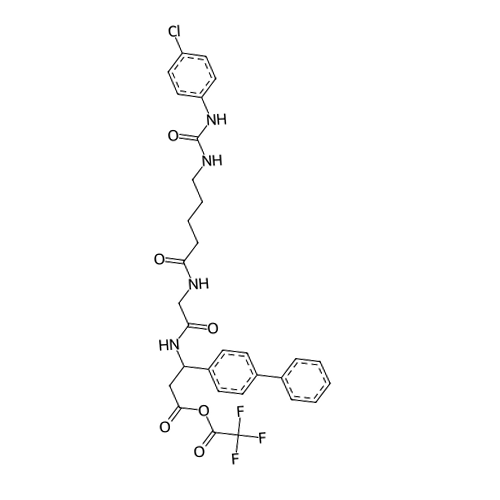 O=C(CCCCNC(=O)Nc1ccc(Cl)cc1)NCC(=O)NC(CC(=O)OC(=O)C(F)(F)F)c1ccc(-c2ccccc2)cc1